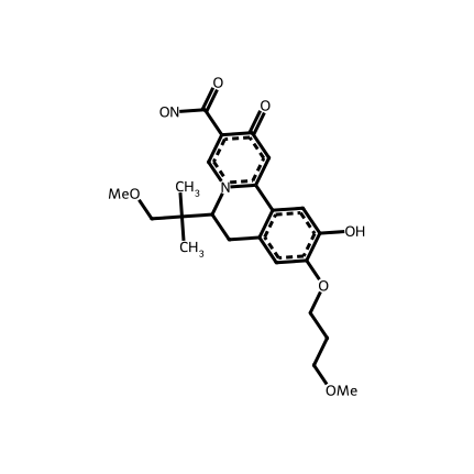 COCCCOc1cc2c(cc1O)-c1cc(=O)c(C(=O)N=O)cn1C(C(C)(C)COC)C2